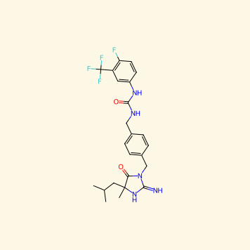 CC(C)CC1(C)NC(=N)N(Cc2ccc(CNC(=O)Nc3ccc(F)c(C(F)(F)F)c3)cc2)C1=O